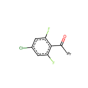 CC(C)C(=O)c1c(F)cc(Cl)cc1F